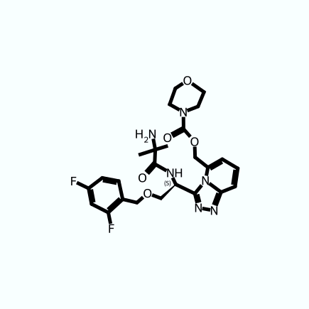 CC(C)(N)C(=O)N[C@H](COCc1ccc(F)cc1F)c1nnc2cccc(COC(=O)N3CCOCC3)n12